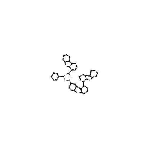 c1ccc(C2NC(c3ccc4oc5cccc(-c6cccc7c6sc6ccccc67)c5c4c3)NC(c3cccc4c3oc3ccccc34)N2)cc1